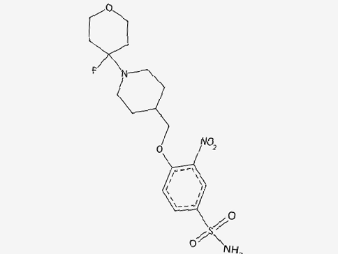 NS(=O)(=O)c1ccc(OCC2CCN(C3(F)CCOCC3)CC2)c([N+](=O)[O-])c1